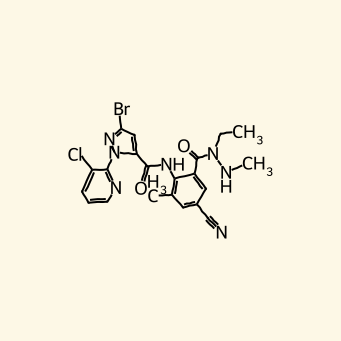 CCN(NC)C(=O)c1cc(C#N)cc(C)c1NC(=O)c1cc(Br)nn1-c1ncccc1Cl